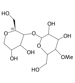 COC1C(CO)OC(OC2C(O)C(O)CO[C@H]2CO)C(O)C1O